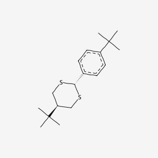 CC(C)(C)c1ccc([C@H]2SC[C@H](C(C)(C)C)CS2)cc1